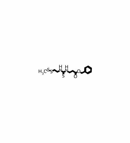 CSSCCNC(=S)NCCC(=O)OCc1ccccc1